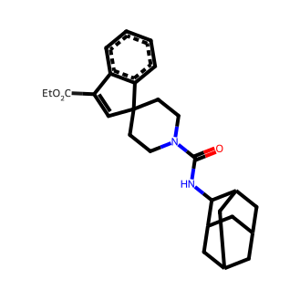 CCOC(=O)C1=CC2(CCN(C(=O)NC3C4CC5CC(C4)CC3C5)CC2)c2ccccc21